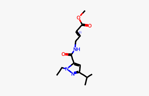 CCn1nc(C(C)C)cc1C(=O)NC/C=C/C(=O)OC